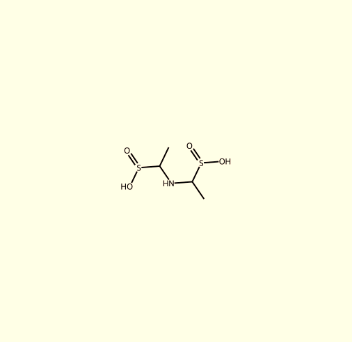 CC(NC(C)S(=O)O)S(=O)O